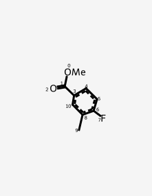 COC(=O)c1ccc(F)c(C)c1